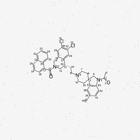 CC(=O)N1CC2(CCN(CC[C@H](CN(C)C(=O)c3cccc4ccccc34)c3ccc(Cl)c(Cl)c3)CC2)c2cc(F)ccc21